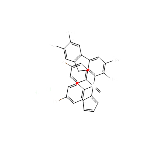 Cl.Cl.[CH2]=[Zr]([C]1=CC=CC1)([c]1ccc(Br)cc1)([c]1ccc(Br)cc1)[c]1c2c(cc(C(C)(C)C)c1C(C)(C)C)-c1cc(C(C)(C)C)c(C(C)(C)C)cc1C2